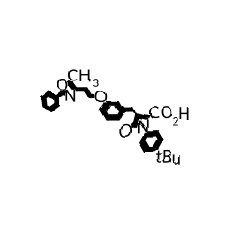 Cc1oc(-c2ccccc2)nc1CCOc1cccc(C[C@@H]2C(=O)N(c3ccc(C(C)(C)C)cc3)[C@H]2C(=O)O)c1